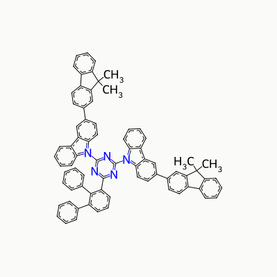 CC1(C)c2ccccc2-c2ccc(-c3ccc4c(c3)c3ccccc3n4-c3nc(-c4cccc(-c5ccccc5)c4-c4ccccc4)nc(-n4c5ccccc5c5cc(-c6ccc7c(c6)C(C)(C)c6ccccc6-7)ccc54)n3)cc21